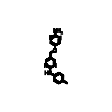 Cc1ccc(Nc2ncc(COc3cnc(N)nc3)cn2)cc1